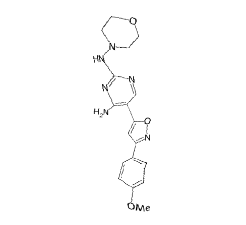 COc1ccc(-c2cc(-c3cnc(NN4CCOCC4)nc3N)on2)cc1